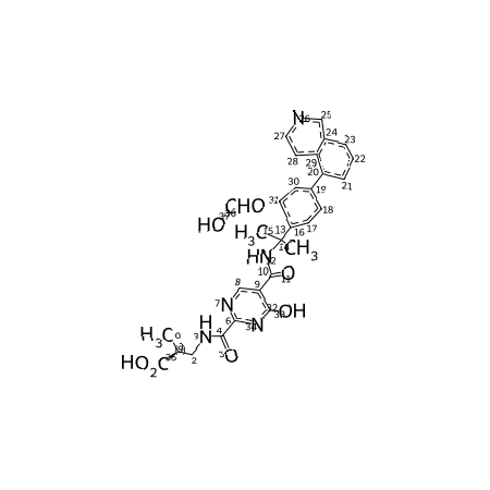 C[C@@H](CNC(=O)c1ncc(C(=O)NC(C)(C)c2ccc(-c3cccc4cnccc34)cc2)c(O)n1)C(=O)O.O=CO